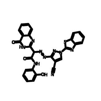 N#Cc1cn(-c2nc3ccccc3s2)nc1N=NC(C(=O)Nc1ccccc1O)c1nc2ccccc2c(=O)[nH]1